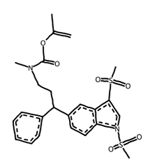 C=C(C)OC(=O)N(C)CCC(c1ccccc1)c1ccc2c(c1)c(S(C)(=O)=O)cn2S(C)(=O)=O